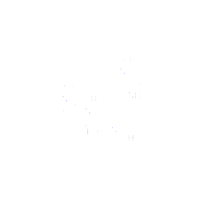 CCN1CCC2(CC1)C(=O)Nc1cc(-c3cc(C(=O)NCc4c(C)cc(C)[nH]c4=O)c(C)c(N(CC)C4CCOCC4)c3)ccc12